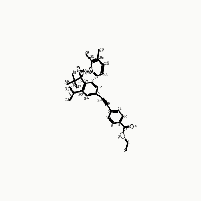 CCOC(=O)c1ccc(C#Cc2ccc(C3(C(C)(C)C)ON3[si]3cccc(C)c3C)c(C(C)C)c2)cc1